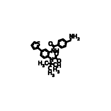 CC(C)(C)N(C(=O)O)c1ccc(-c2cccs2)cc1NC(=O)c1ccc(CN)cc1